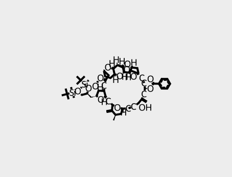 C=C1C2C[C@@H]3O[C@H](C[C@@H](CO[Si](C)(C)C(C)(C)C)O[Si](C)(C)C(C)(C)C)[C@H](OC)[C@H]3CC(=O)CC3CC[C@@H]4O[C@@H]5[C@H]6O[C@@H]7C[C@](CC[C@H](OC(=O)c8ccccc8)CC(=C)[C@H](O)CC[C@@H](C[C@H]1C)O2)(O[C@H]6[C@H]4O3)O[C@H]57